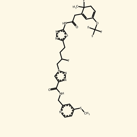 CSc1ccnc(CNC(=O)c2cn(CC(F)CCc3nnc(NC(=O)CC4=CC(OC(F)(F)F)=CCC4(C)F)s3)nn2)c1